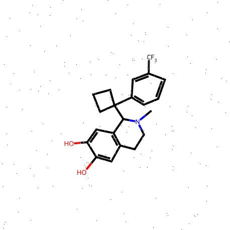 CN1CCc2cc(O)c(O)cc2C1C1(c2cccc(C(F)(F)F)c2)CCC1